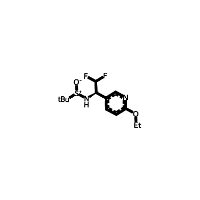 CCOc1ccc([C@@H](N[S+]([O-])C(C)(C)C)C(F)F)cn1